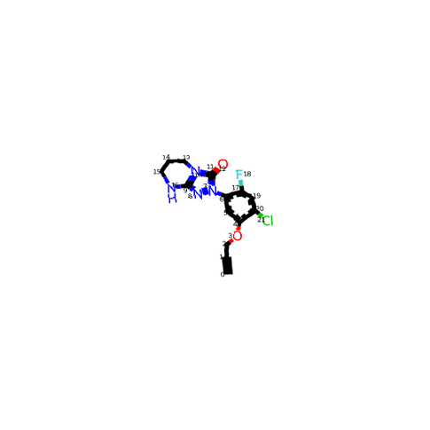 C#CCOc1cc(-n2nc3n(c2=O)CCCN3)c(F)cc1Cl